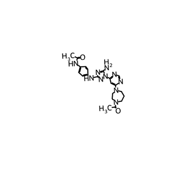 CC(=O)Nc1ccc(Nc2nc(N)n(-c3cc(N4CCCN(C(C)=O)CC4)ncn3)n2)cc1